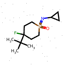 CC(C)(C)C1(F)CCS(=O)(=NC2CC2)CC1